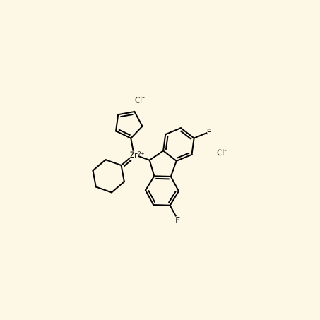 Fc1ccc2c(c1)-c1cc(F)ccc1[CH]2[Zr+2]([C]1=CC=CC1)=[C]1CCCCC1.[Cl-].[Cl-]